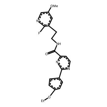 CCOc1ccc(-c2nccc(C(=O)NCCc3cc(OC)cnc3F)n2)cc1